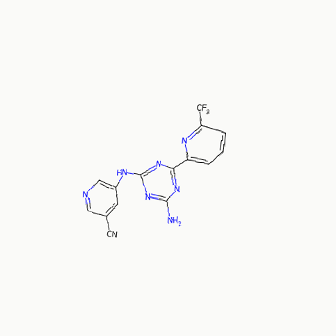 N#Cc1cncc(Nc2nc(N)nc(-c3cccc(C(F)(F)F)n3)n2)c1